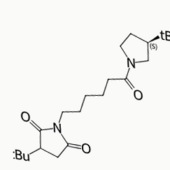 CC(C)(C)C1CC(=O)N(CCCCCC(=O)N2CC[C@@H](C(C)(C)C)C2)C1=O